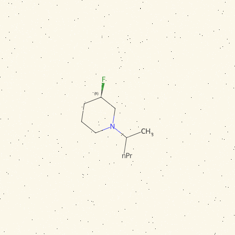 CCCC(C)N1CCC[C@@H](F)C1